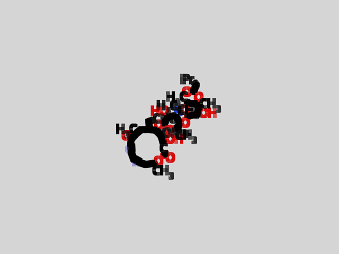 COC1C(O)CC(=O)OC(C)C/C=C\C=C/C(=O)C(C)CC(CC=O)C1OC1OC(C)C(OC2CC(C)(O)C(OC(=O)CC(C)C)C(C)O2)C(N(C)C)C1O